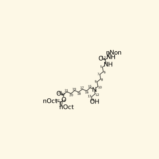 CCCCCCCCCNC(=O)NCCCCCCN(CCO)CCCCCCCC(=O)OC(CCCCCCCC)CCCCCCCC